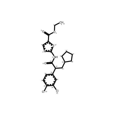 CCOC(=O)c1cnc(NC(=O)C(CC2CCCC2)c2ccc(Cl)c(Cl)c2)s1